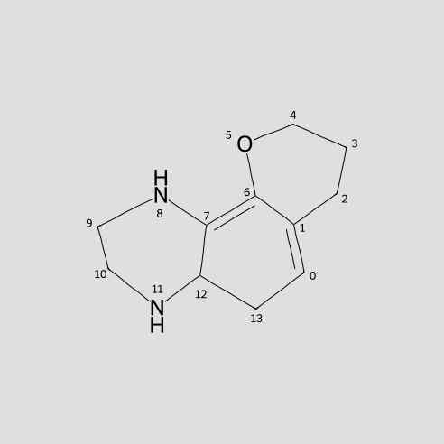 C1=C2CCCOC2=C2NCCNC2C1